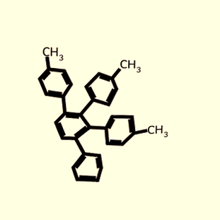 Cc1ccc(-c2ccc(-c3ccccc3)c(-c3ccc(C)cc3)c2-c2ccc(C)cc2)cc1